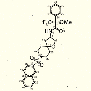 CO[C@@](C(=O)N[C@H]1COC2(CCN(S(=O)(=O)c3ccc4ccccc4c3)CC2)C1)(c1ccccc1)C(F)(F)F